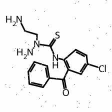 NCCN(N)C(=S)Nc1ccc(Cl)cc1C(=O)c1ccccc1